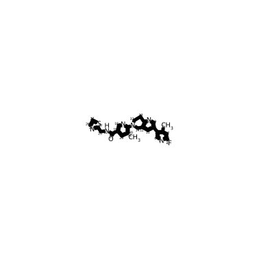 Cc1cc(F)ncc1-c1cnc2c(c1)CN(c1ncc(C(=O)NCc3nccs3)cc1C)CC2